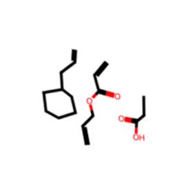 C=CCC1CCCCC1.C=CCOC(=O)C=C.CCC(=O)O